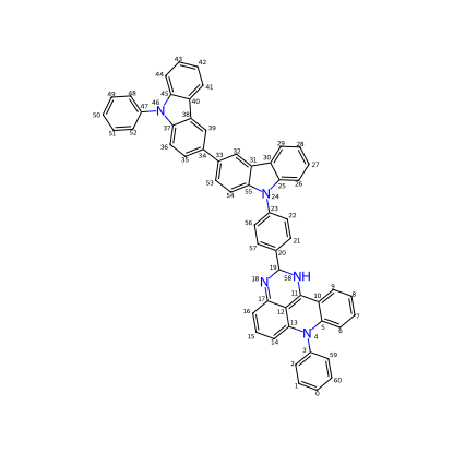 c1ccc(N2c3ccccc3C3=c4c2cccc4=NC(c2ccc(-n4c5ccccc5c5cc(-c6ccc7c(c6)c6ccccc6n7-c6ccccc6)ccc54)cc2)N3)cc1